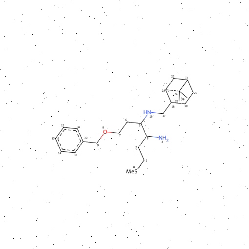 CSCCC(N)C(CCOCc1ccccc1)NCC1CCC2CC1C2(C)C